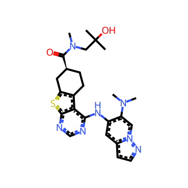 CN(CC(C)(C)O)C(=O)[C@H]1CCc2c(sc3ncnc(Nc4cc5ccnn5cc4N(C)C)c23)C1